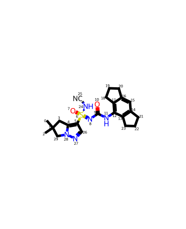 CC1(C)Cc2c([S@](=O)(=NC(=O)Nc3c4c(cc5c3CCC5)CCC4)NC#N)cnn2C1